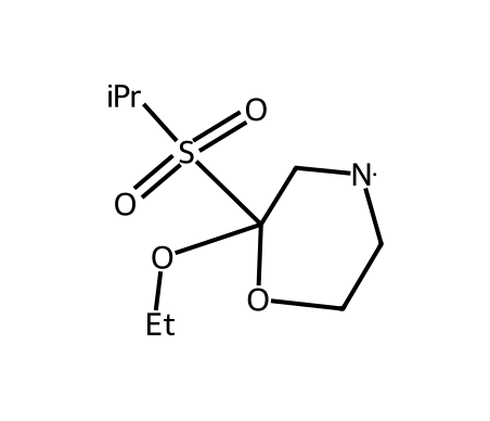 CCOC1(S(=O)(=O)C(C)C)C[N]CCO1